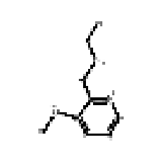 CCOCc1nc[c]cc1OC